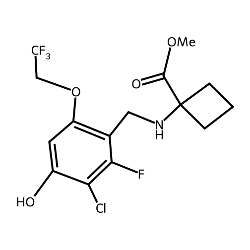 COC(=O)C1(NCc2c(OCC(F)(F)F)cc(O)c(Cl)c2F)CCC1